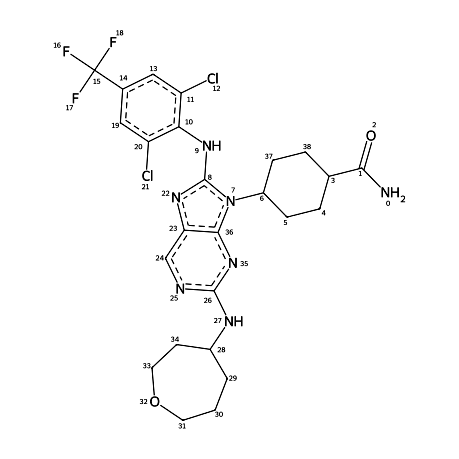 NC(=O)C1CCC(n2c(Nc3c(Cl)cc(C(F)(F)F)cc3Cl)nc3cnc(NC4CCCOCC4)nc32)CC1